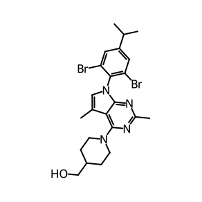 Cc1nc(N2CCC(CO)CC2)c2c(C)cn(-c3c(Br)cc(C(C)C)cc3Br)c2n1